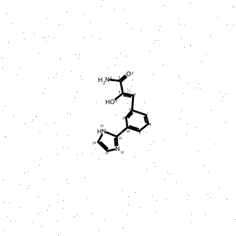 NC(=O)/C(O)=C/c1cccc(-c2ncc[nH]2)c1